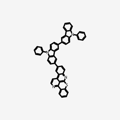 c1ccc(-n2c3ccccc3c3cc(-c4ccc5c(c4)c4cc(-c6ccc7nc8c9c(nccc9c7c6)-c6ccccc6S8)ccc4n5-c4ccccc4)ccc32)cc1